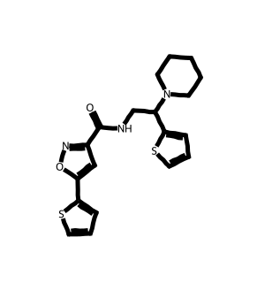 O=C(NCC(c1cccs1)N1CCCCC1)c1cc(-c2cccs2)on1